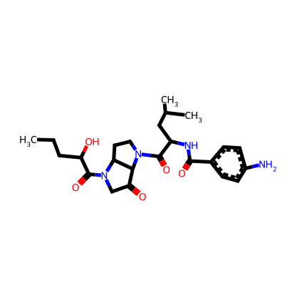 CCCC(O)C(=O)N1CC(=O)C2C1CCN2C(=O)C(CC(C)C)NC(=O)c1ccc(N)cc1